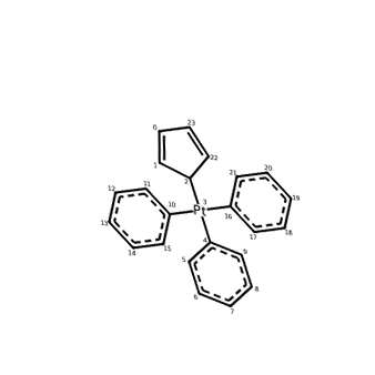 C1=C[CH]([Pt]([c]2ccccc2)([c]2ccccc2)[c]2ccccc2)C=C1